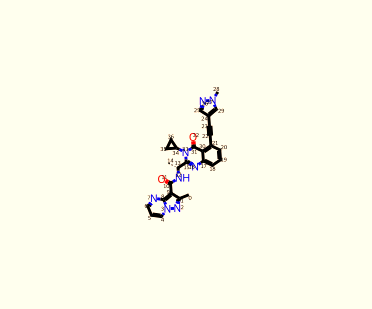 Cc1nn2cccnc2c1C(=O)N[C@H](C)c1nc2cccc(C#Cc3cnn(C)c3)c2c(=O)n1C1CC1